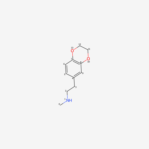 CNCCc1ccc2c(c1)OCCO2